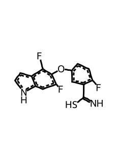 N=C(S)c1cc(Oc2c(F)cc3[nH]ccc3c2F)ccc1F